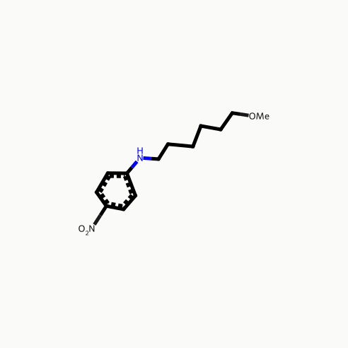 COCCCCCCNc1ccc([N+](=O)[O-])cc1